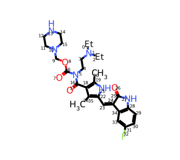 CCN(CC)CCN(C(=O)OCN1CCNCC1)C(=O)c1c(C)[nH]c(/C=C2\C(=O)Nc3ccc(F)cc32)c1C